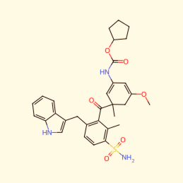 COC1=CC(NC(=O)OC2CCCC2)=CC(C)(C(=O)c2c(Cc3c[nH]c4ccccc34)ccc(S(N)(=O)=O)c2C)C1